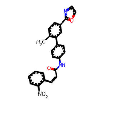 Cc1ccc(-c2ncco2)cc1-c1ccc(NC(=O)/C=C\c2ccccc2[N+](=O)[O-])cc1